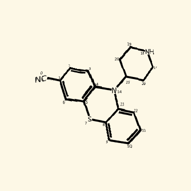 N#Cc1ccc2c(c1)Sc1ccccc1N2C1CCNCC1